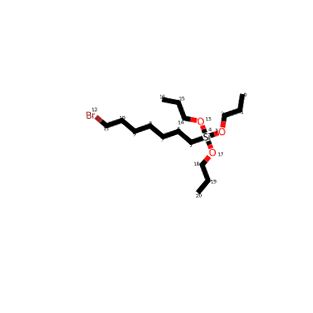 CCCO[Si](CCCCCCCBr)(OCCC)OCCC